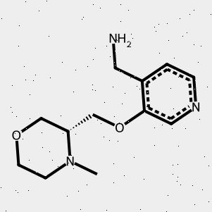 CN1CCOC[C@@H]1COc1cnccc1CN